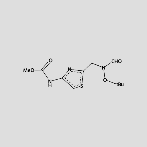 COC(=O)Nc1csc(CN(C=O)OC(C)(C)C)n1